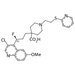 COc1ccc2ncc(Cl)c([C@@H](F)CCC3(C(=O)O)CCN(CCSc4ccccn4)CC3)c2c1